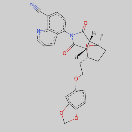 C[C@]12CC[C@](CCOc3ccc4c(c3)OCO4)(O1)[C@@H]1C(=O)N(c3ccc(C#N)c4ncccc34)C(=O)[C@@H]12